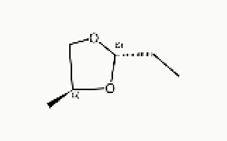 CC[C@H]1OC[C@H](C)O1